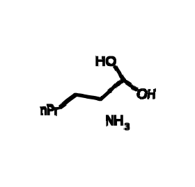 CCCCCC(O)O.N